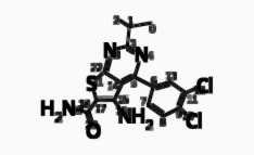 CC(C)c1nc(-c2ccc(Cl)c(Cl)c2)c2c(N)c(C(N)=O)sc2n1